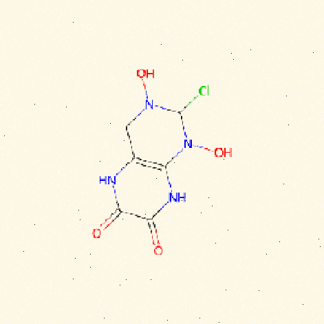 O=c1[nH]c2c([nH]c1=O)N(O)C(Cl)N(O)C2